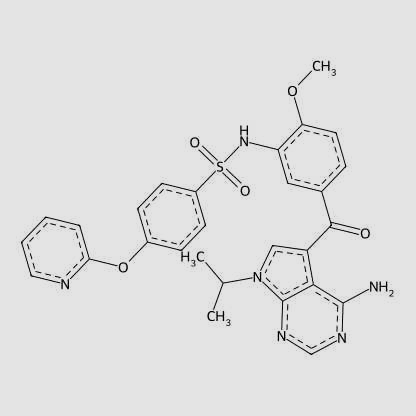 COc1ccc(C(=O)c2cn(C(C)C)c3ncnc(N)c23)cc1NS(=O)(=O)c1ccc(Oc2ccccn2)cc1